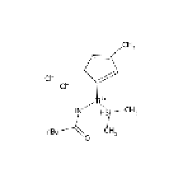 CCCCC(=O)[NH][Ti+2]([C]1=CC(C)=CC1)[SiH](C)C.[Cl-].[Cl-]